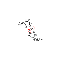 COc1ccc(OC(=O)c2cccc(C(C)=O)c2)cc1